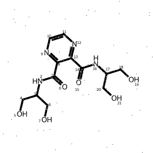 O=C(NC(CO)CO)c1nccnc1C(=O)NC(CO)CO